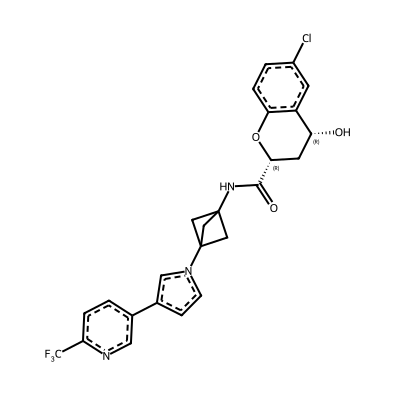 O=C(NC12CC(n3ccc(-c4ccc(C(F)(F)F)nc4)c3)(C1)C2)[C@H]1C[C@@H](O)c2cc(Cl)ccc2O1